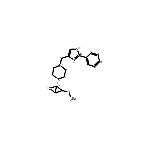 CC(C)(C)OC1C2O[C@@]12N1CCN(Cc2csc(-c3ccccc3)n2)CC1